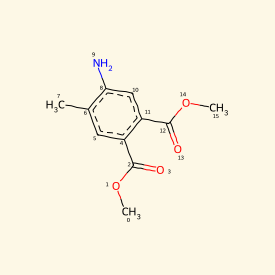 COC(=O)c1cc(C)c(N)cc1C(=O)OC